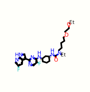 CCOCCOCCCCCN(CC)C(=O)N[C@H]1CCC[C@@H](Nc2nc(-c3c[nH]c4ncc(F)cc34)ncc2F)C1